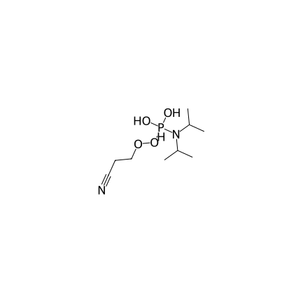 CC(C)N(C(C)C)[PH](O)(O)OOCCC#N